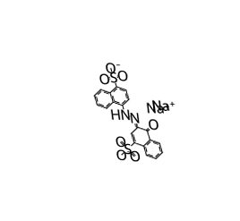 O=C1/C(=N/Nc2ccc(S(=O)(=O)[O-])c3ccccc23)C=C(S(=O)(=O)[O-])c2ccccc21.[Na+].[Na+]